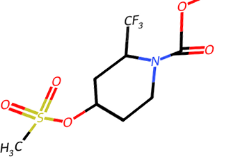 CC(C)(C)OC(=O)N1CCC(OS(C)(=O)=O)CC1C(F)(F)F